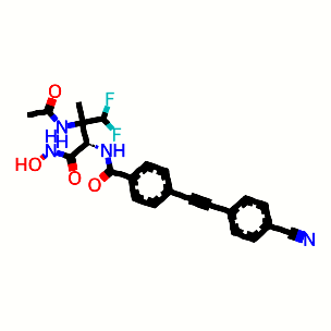 CC(=O)NC(C)(C(F)F)[C@H](NC(=O)c1ccc(C#Cc2ccc(C#N)cc2)cc1)C(=O)NO